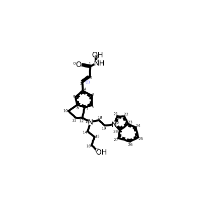 O=C(/C=C/c1ccc2c(c1)CCC2N(CCCO)CCn1ccc2ccccc21)NO